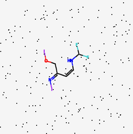 FC(F)N/C=C\C(COI)=N/I